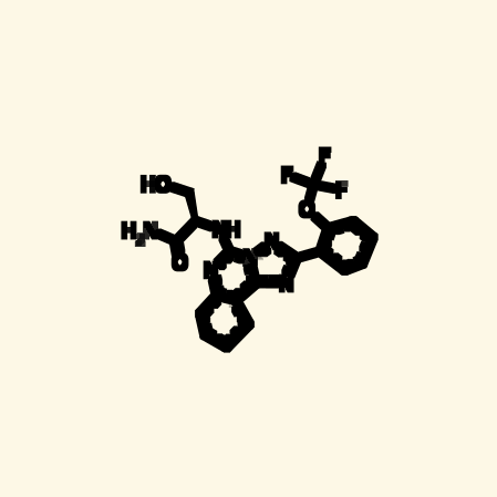 NC(=O)[C@@H](CO)Nc1nc2ccccc2c2nc(-c3ccccc3OC(F)(F)F)nn12